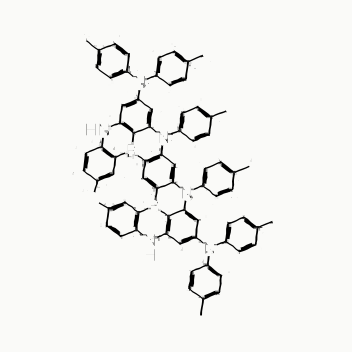 Cc1ccc(N(c2ccc(C)cc2)c2cc3c4c(c2)N(c2ccc(C)cc2)c2cc5c(cc2B4c2cc(C)ccc2N3)B2c3cc(C)ccc3Nc3cc(N(c4ccc(C)cc4)c4ccc(C)cc4)cc(c32)N5c2ccc(C)cc2)cc1